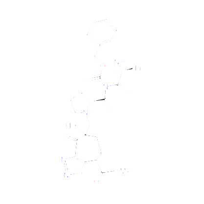 COC(=O)C1CCC(C)(CN2CCC[C@H]2C(=O)N(C(=O)OCc2ccccc2)C(=O)[C@@H](N)C(C)C)C(=O)c2nnoc21